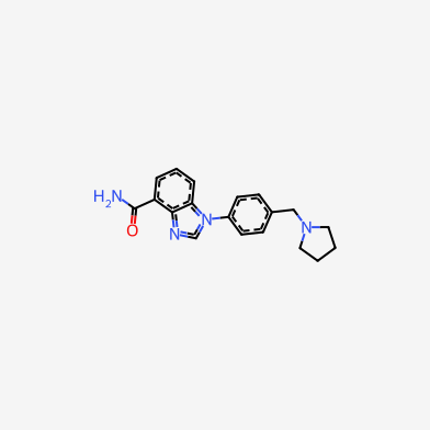 NC(=O)c1cccc2c1ncn2-c1ccc(CN2CCCC2)cc1